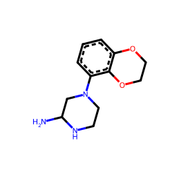 NC1CN(c2cccc3c2OCCO3)CCN1